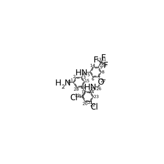 Nc1cc(Nc2cccc(C(F)(F)F)c2)cc(-c2c(Cl)cc(Cl)cc2NC=O)c1